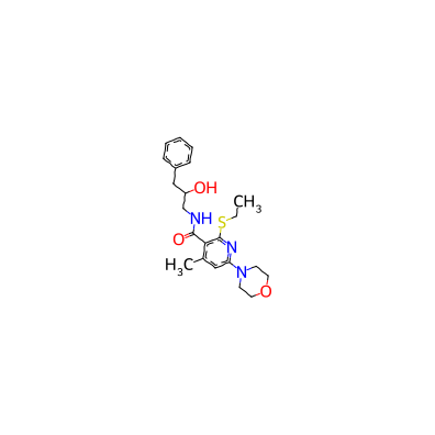 CCSc1nc(N2CCOCC2)cc(C)c1C(=O)NCC(O)Cc1ccccc1